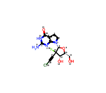 Nc1nc2c(ccn2[C@@H]2O[C@H](CO)[C@H](O)C2(F)C#CCl)c(=O)[nH]1